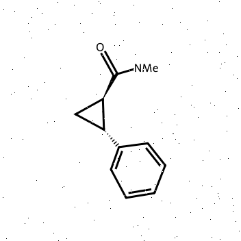 CNC(=O)[C@@H]1C[C@H]1c1ccccc1